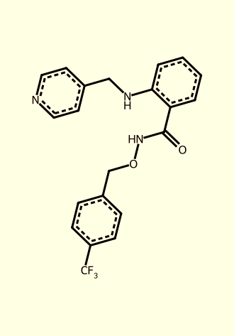 O=C(NOCc1ccc(C(F)(F)F)cc1)c1ccccc1NCc1ccncc1